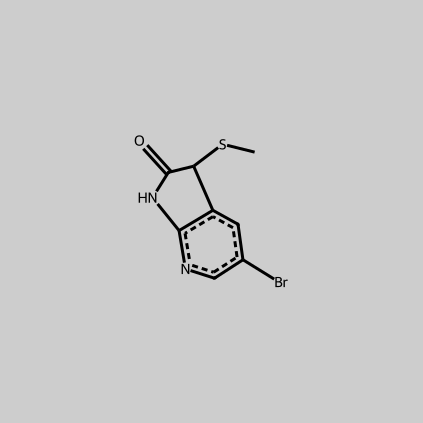 CSC1C(=O)Nc2ncc(Br)cc21